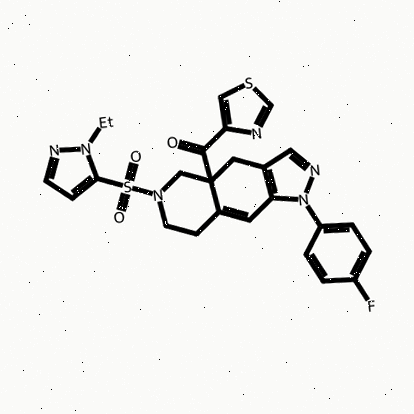 CCn1nccc1S(=O)(=O)N1CCC2=Cc3c(cnn3-c3ccc(F)cc3)CC2(C(=O)c2cscn2)C1